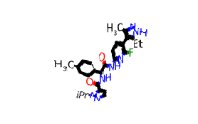 CCc1[nH]nc(C)c1-c1ccc(NC(=O)[C@@H](NC(=O)c2ccnn2C(C)C)[C@H]2CC[C@H](C)CC2)nc1F